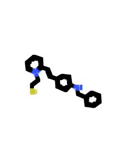 SCC[n+]1ccccc1/C=C/c1ccc(NCc2ccccc2)cc1